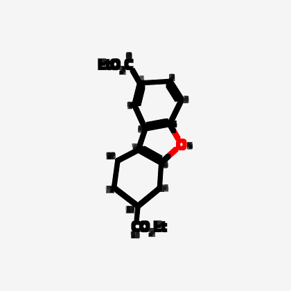 CCOC(=O)c1ccc2oc3c(c2c1)CCC(C(=O)OCC)C3